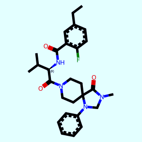 CCc1ccc(F)c(C(=O)N[C@@H](C(=O)N2CCC3(CC2)C(=O)N(C)CN3c2ccccc2)C(C)C)c1